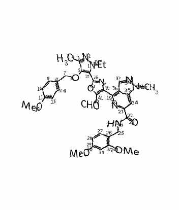 CCn1nc(C)c(OCc2ccc(OC)cc2)c1-c1nc(-c2nc(C(=O)NCc3ccc(OC)cc3OC)cc3c2cnn3C)c(C=O)o1